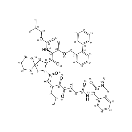 CCCC(NC(=O)[C@@H]1CC2(CN1C(=O)[C@@H](NC(=O)OCC(C)C)[C@@H](C)OCc1ccccc1-c1ccccc1)SCCCS2)C(=O)C(=O)NCC(=O)N[C@H](C(=O)N(C)C)c1ccccc1